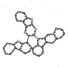 c1ccc2cc3c(cc2c1)c1ccccc1n3-c1nc2oc3ccccc3c2nc1-c1cccc2c1sc1ccccc12